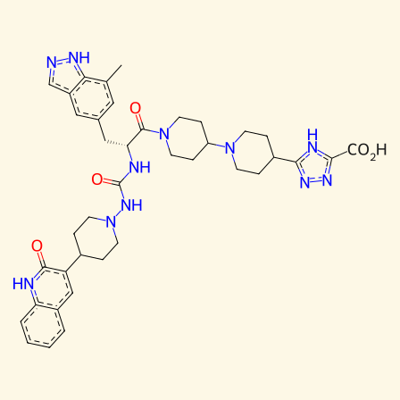 Cc1cc(C[C@@H](NC(=O)NN2CCC(c3cc4ccccc4[nH]c3=O)CC2)C(=O)N2CCC(N3CCC(c4nnc(C(=O)O)[nH]4)CC3)CC2)cc2cn[nH]c12